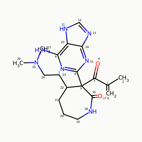 C=C(C)C(=O)C1(c2nc(N)c3[nH]cnc3n2)C(=O)NCCCC1CCN(C)C